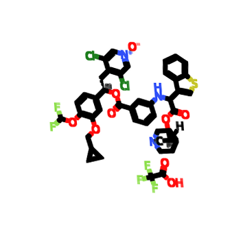 O=C(O)C(F)(F)F.O=C(O[C@@H](Cc1c(Cl)c[n+]([O-])cc1Cl)c1ccc(OC(F)F)c(OCC2CC2)c1)c1cccc(NC(C(=O)O[C@H]2CN3CCC2CC3)c2csc3ccccc23)c1